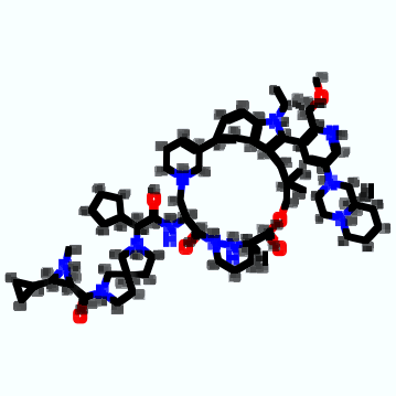 CCn1c(-c2cc(N3CCN4CCCC[C@@H]4C3)cnc2[C@H](C)OC)c2c3cc(ccc31)C1=CCCN(C1)C[C@H](NC(=O)[C@H](C1CCCC1)N1CC[C@]3(CCN(C(=O)[C@H]4[C@@H](C5CC5)N4C)C3)C1)C(=O)N1CCC[C@H](N1)C(=O)OCC(C)(C)C2